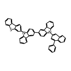 c1ccc(-c2cc(-n3c4ccccc4c4cc(-c5ccc6c(c5)c5ccccc5n6-c5ccc6c(c5)sc5ccccc56)ccc43)cc3ccccc23)cc1